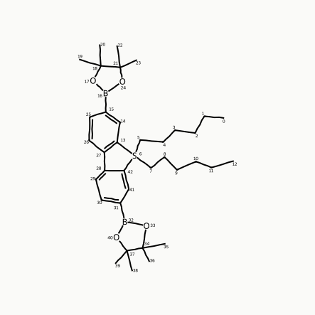 CCCCCCS1(CCCCCC)c2cc(B3OC(C)(C)C(C)(C)O3)ccc2-c2ccc(B3OC(C)(C)C(C)(C)O3)cc21